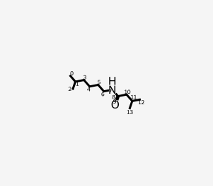 CC(C)CCCCNC(=O)CC(C)C